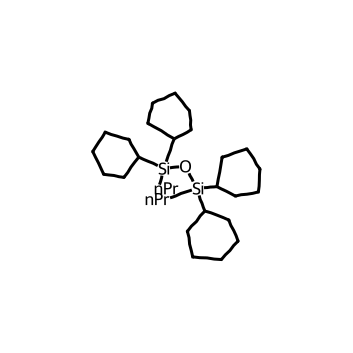 CCC[Si](O[Si](CCC)(C1CCCCC1)C1CCCCC1)(C1CCCCC1)C1CCCCC1